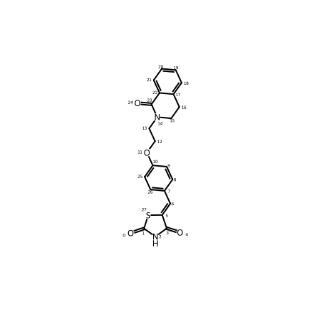 O=C1NC(=O)C(=Cc2ccc(OCCN3CCc4ccccc4C3=O)cc2)S1